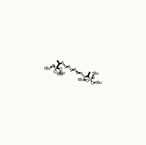 CC(SSSSSSSSC(C)[Si](OC(C)(C)C)(OC(C)(C)C)OC(C)(C)C)[Si](OC(C)(C)C)(OC(C)(C)C)OC(C)(C)C